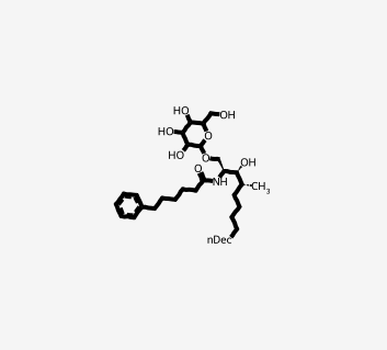 CCCCCCCCCCCCCC[C@@H](C)[C@@H](O)[C@H](COC1OC(CO)C(O)C(O)C1O)NC(=O)CCCCCc1ccccc1